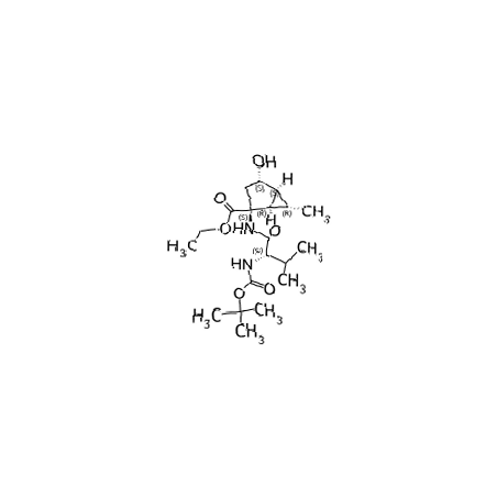 CCOC(=O)[C@]1(NC(=O)[C@@H](NC(=O)OC(C)(C)C)C(C)C)C[C@H](O)[C@H]2[C@H](C)[C@H]21